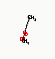 CCCCCCCCCCCCCCCCCCOC(=O)CCCCCOC(C)=O